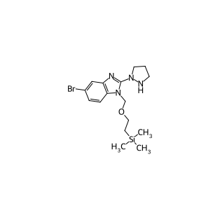 C[Si](C)(C)CCOCn1c(N2CCCN2)nc2cc(Br)ccc21